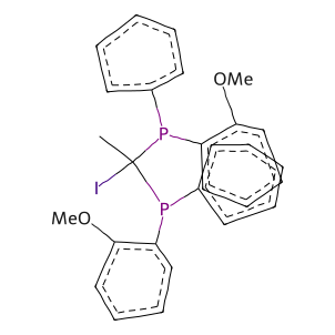 COc1ccccc1P(c1ccccc1)C(C)(I)P(c1ccccc1)c1ccccc1OC